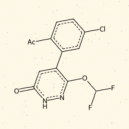 CC(=O)c1ccc(Cl)cc1-c1cc(=O)[nH]nc1OC(F)F